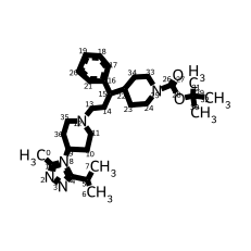 Cc1nnc(C(C)C)n1C1CCN(CCC(c2ccccc2)C2CCN(C(=O)OC(C)(C)C)CC2)CC1